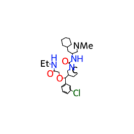 CCNC(=O)COC(c1cccc(Cl)c1)C1CCCN(C(=O)NC(CNC)CC2CCCCC2)C1